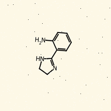 Nc1ccccc1C1=NCCN1